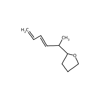 C=C/C=C/C(C)C1CCCO1